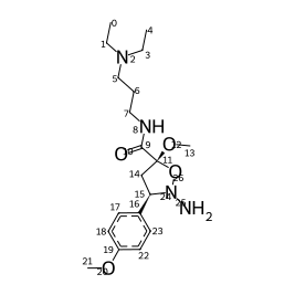 CCN(CC)CCCNC(=O)[C@@]1(OC)C[C@H](c2ccc(OC)cc2)N(N)O1